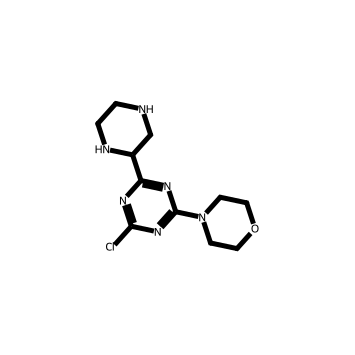 Clc1nc(C2CNCCN2)nc(N2CCOCC2)n1